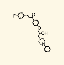 O=C(C=Cc1ccc(F)cc1)c1ccc(OCC(O)CN2CCN(c3ccccc3)CC2)cc1